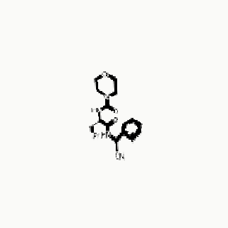 CC(C)C[C@H](NC(=O)N1CCOCC1)C(=O)NC(C#N)c1ccccc1